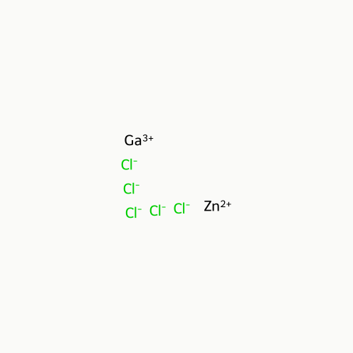 [Cl-].[Cl-].[Cl-].[Cl-].[Cl-].[Ga+3].[Zn+2]